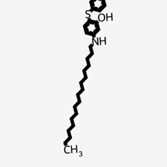 CCCCCCCCCCCCCCCCCCNc1ccc(Sc2ccccc2)c(O)c1